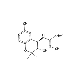 CCCCCCC(=NC#N)N[C@@H]1c2cc(C#N)ccc2OC(C)(C)[C@H]1O